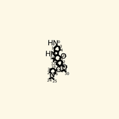 CNc1ccc2c3c([nH]c2c1)C(C)(C)c1cc(OC2CCCN(C(C)C)C2)c(OC(C)C)cc1C3=O